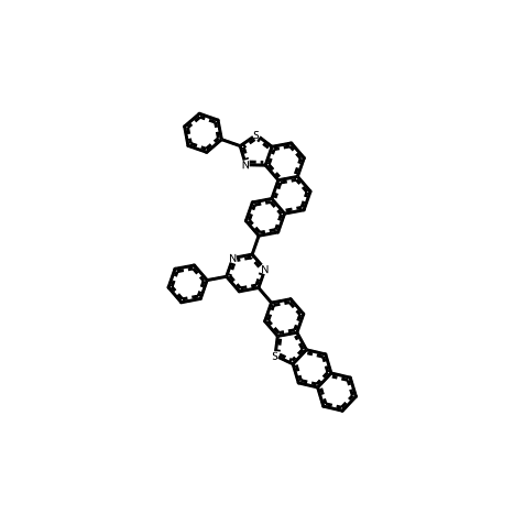 c1ccc(-c2cc(-c3ccc4c(c3)sc3cc5ccccc5cc34)nc(-c3ccc4c(ccc5ccc6sc(-c7ccccc7)nc6c54)c3)n2)cc1